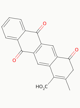 CC1=C(C(=O)O)c2cc3c(cc2C(=O)C1)C(=O)c1ccccc1C3=O